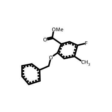 COC(=O)c1cc(F)c(C)cc1OCc1ccccc1